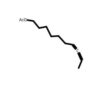 CC=C=CCCCCCCOC(C)=O